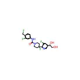 O=C(Nc1ccc(CF)c(F)c1)N1CCC(F)(c2ncc([C@H](O)CO)cc2F)CC1